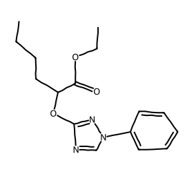 CCCCC(Oc1ncn(-c2ccccc2)n1)C(=O)OCC